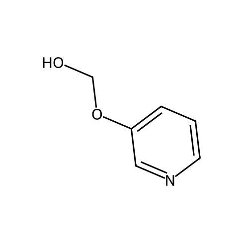 OCOc1cccnc1